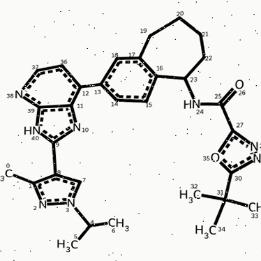 Cc1nn(C(C)C)cc1-c1nc2c(-c3ccc4c(c3)CCCCC4NC(=O)c3nnc(C(C)(C)C)o3)ccnc2[nH]1